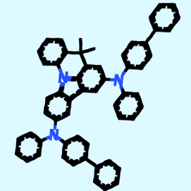 CC1(C)c2ccccc2-n2c3ccc(N(c4ccccc4)c4ccc(-c5ccccc5)cc4)cc3c3cc(N(c4ccccc4)c4ccc(-c5ccccc5)cc4)cc1c32